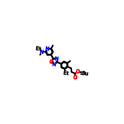 CCc1cc(-c2noc(-c3cc(C)nc(N(C)CC)c3)n2)cc(C)c1CCC(=O)OC(C)(C)C